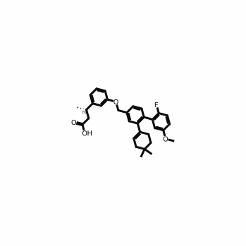 COc1ccc(F)c(-c2ccc(COc3cccc([C@@H](C)CC(=O)O)c3)cc2C2=CCC(C)(C)CC2)c1